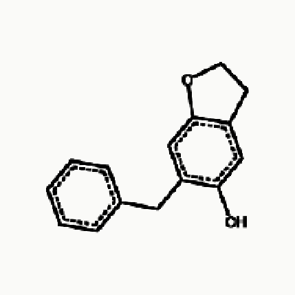 Oc1cc2c(cc1Cc1ccccc1)OCC2